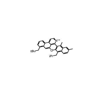 Cc1ccc2c(CC(C)C)c3c(c(C)c2c1)-c1c2c(cc4c(CC(C)(C)C)cccc4c2cc[n+]1C)O3